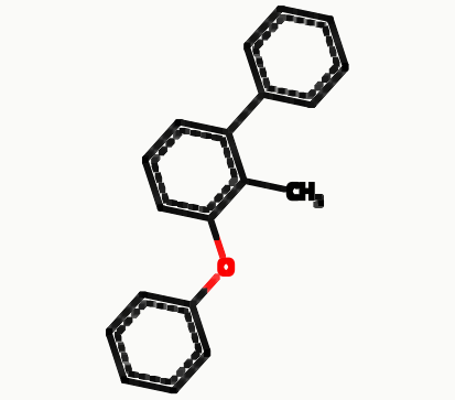 Cc1c(Oc2ccccc2)cccc1-c1ccccc1